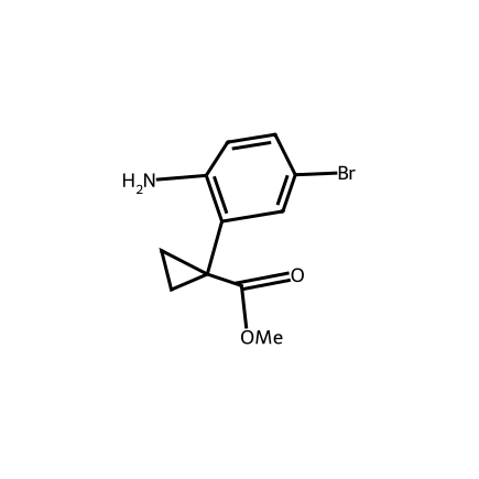 COC(=O)C1(c2cc(Br)ccc2N)CC1